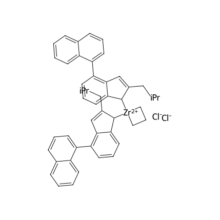 CC(C)CC1=Cc2c(-c3cccc4ccccc34)cccc2[CH]1[Zr+2]1([CH]2C(CC(C)C)=Cc3c(-c4cccc5ccccc45)cccc32)[CH2]C[CH2]1.[Cl-].[Cl-]